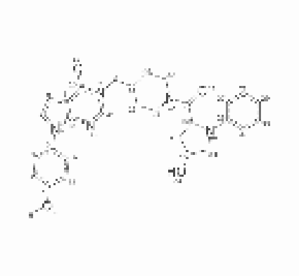 COc1ccc(-n2ccc3c(=O)n(CC4CCN(C(=O)C5CC(O)CN5c5ccccc5)CC4)cnc32)cc1